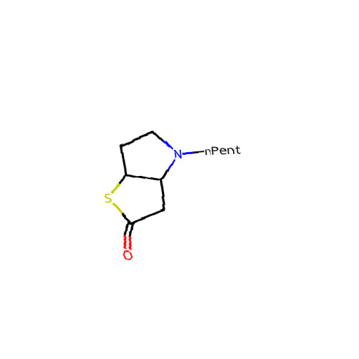 CCCCCN1CCC2SC(=O)CC21